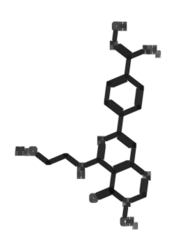 COCCNc1nc(-c2ccc(C(N)=NO)cc2)cc2ncn(C)c(=O)c12